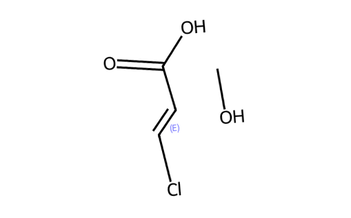 CO.O=C(O)/C=C/Cl